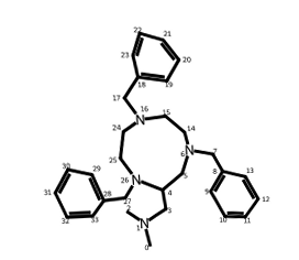 CN(C)CC1CN(Cc2ccccc2)CCN(Cc2ccccc2)CCN1Cc1ccccc1